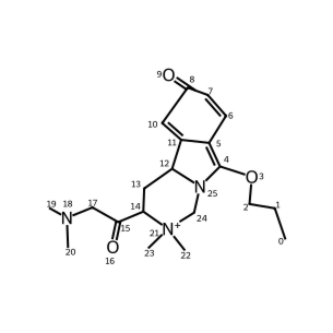 CCCOC1=C2C=CC(=O)C=C2C2CC(C(=O)CN(C)C)[N+](C)(C)CN12